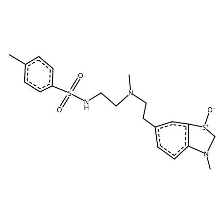 Cc1ccc(S(=O)(=O)NCCN(C)CCc2ccc3c(c2)[S+]([O-])CN3C)cc1